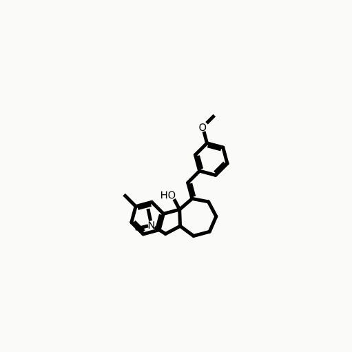 COc1cccc(C=C2CCCCC(CN(C)C)C2(O)c2cccc(C)c2)c1